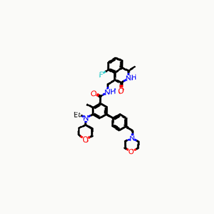 CCN(c1cc(-c2ccc(CN3CCOCC3)cc2)cc(C(=O)NCC2C(=O)NC(C)c3cccc(F)c32)c1C)C1CCOCC1